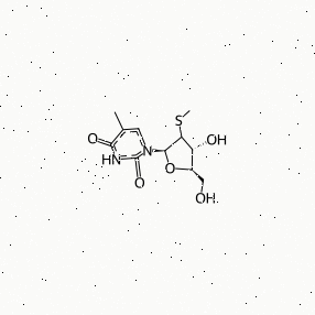 CSC1[C@H](n2cc(C)c(=O)[nH]c2=O)O[C@H](CO)[C@H]1O